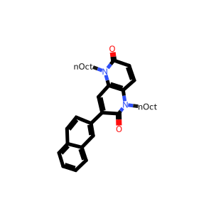 CCCCCCCCn1c(=O)ccc2c1cc(-c1ccc3ccccc3c1)c(=O)n2CCCCCCCC